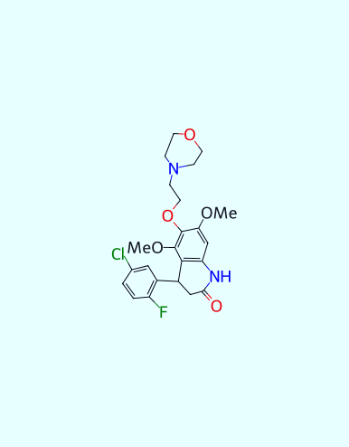 COc1cc2c(c(OC)c1OCCN1CCOCC1)C(c1cc(Cl)ccc1F)CC(=O)N2